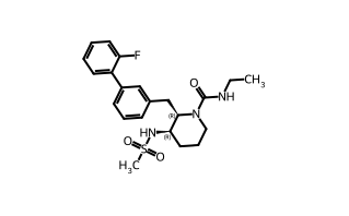 CCNC(=O)N1CCC[C@@H](NS(C)(=O)=O)[C@H]1Cc1cccc(-c2ccccc2F)c1